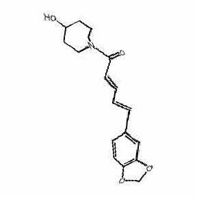 O=C(/C=C/C=C/c1ccc2c(c1)OCO2)N1CCC(O)CC1